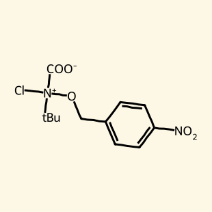 CC(C)(C)[N+](Cl)(OCc1ccc([N+](=O)[O-])cc1)C(=O)[O-]